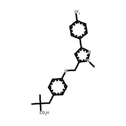 Cn1nc(-c2ccc(C(F)(F)F)cc2)cc1COc1ccc(CC(C)(C)C(=O)O)cc1